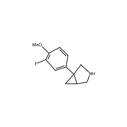 COc1ccc(C23CNCC2C3)cc1F